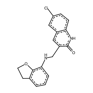 O=c1[nH]c2ccc(Cl)cc2cc1CNc1cccc2c1OCC2